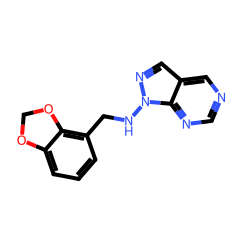 c1cc(CNn2ncc3cncnc32)c2c(c1)OCO2